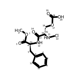 COC(=O)[C@H](Cc1ccccc1)NC(=O)[C@H](COC(=O)O)NCl